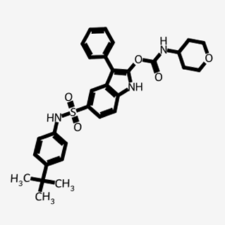 CC(C)(C)c1ccc(NS(=O)(=O)c2ccc3[nH]c(OC(=O)NC4CCOCC4)c(-c4ccccc4)c3c2)cc1